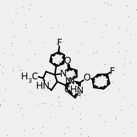 CC1CC(c2ccc(F)cc2)(n2c(=O)ccn2C)C(c2ccnc(Oc3cccc(F)c3)n2)CN1